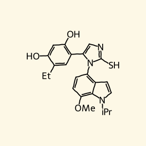 CCc1cc(-c2cnc(S)n2-c2ccc(OC)c3c2ccn3C(C)C)c(O)cc1O